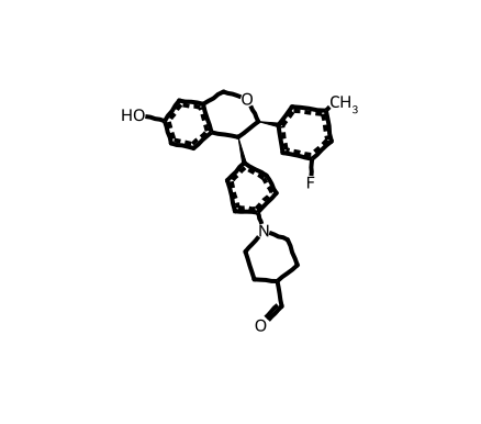 Cc1cc(F)cc([C@@H]2OCc3cc(O)ccc3[C@@H]2c2ccc(N3CCC(C=O)CC3)cc2)c1